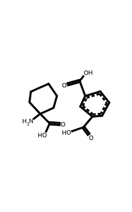 NC1(C(=O)O)CCCCC1.O=C(O)c1cccc(C(=O)O)c1